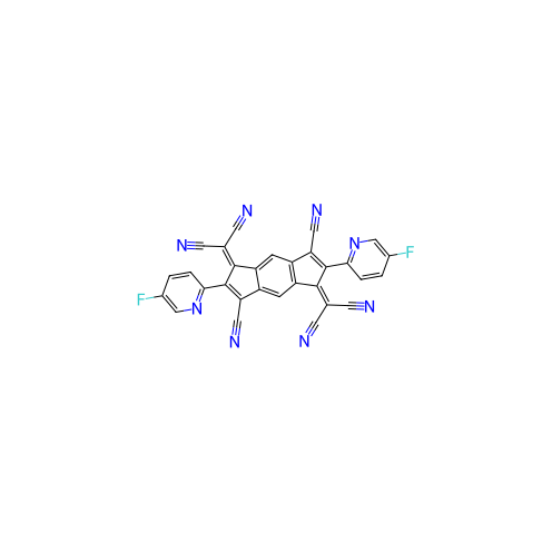 N#CC(C#N)=C1C(c2ccc(F)cn2)=C(C#N)c2cc3c(cc21)C(C#N)=C(c1ccc(F)cn1)C3=C(C#N)C#N